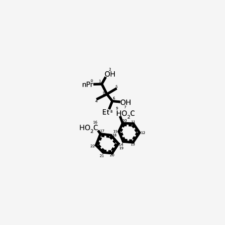 CCCC(O)C(C)(C)C(O)CC.O=C(O)c1ccccc1.O=C(O)c1ccccc1